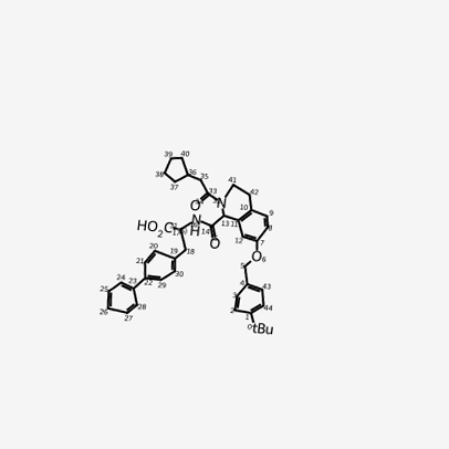 CC(C)(C)c1ccc(COc2ccc3c(c2)C(C(=O)N[C@@H](Cc2ccc(-c4ccccc4)cc2)C(=O)O)N(C(=O)CC2CCCC2)CC3)cc1